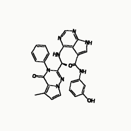 Cc1ccn2nc([C@H](C)Nc3ncnc4[nH]cc(C(=O)Nc5cccc(O)c5)c34)n(-c3ccccc3)c(=O)c12